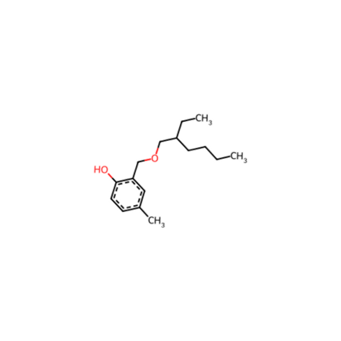 CCCCC(CC)COCc1cc(C)ccc1O